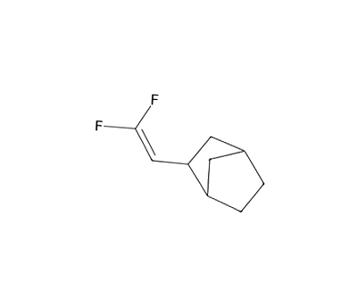 FC(F)=CC1CC2CCC1C2